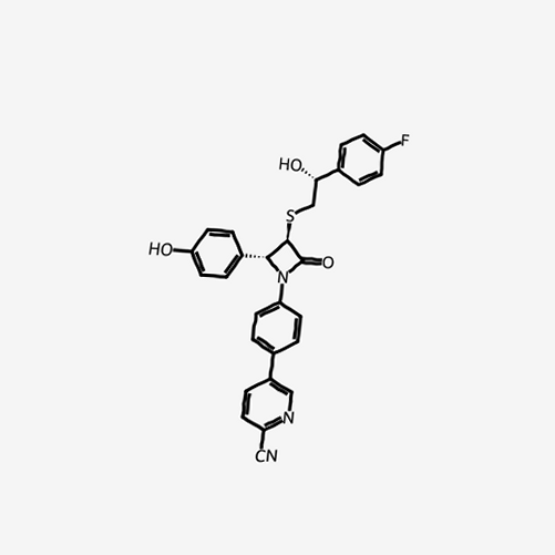 N#Cc1ccc(-c2ccc(N3C(=O)[C@H](SC[C@H](O)c4ccc(F)cc4)[C@H]3c3ccc(O)cc3)cc2)cn1